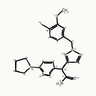 COc1cc(Cn2ncc(C(C(N)=O)c3ccc(N4CCCC4)nc3)n2)ccc1F